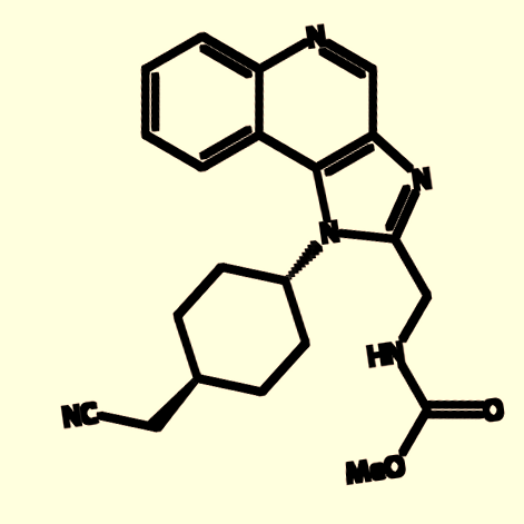 COC(=O)NCc1nc2cnc3ccccc3c2n1[C@H]1CC[C@H](CC#N)CC1